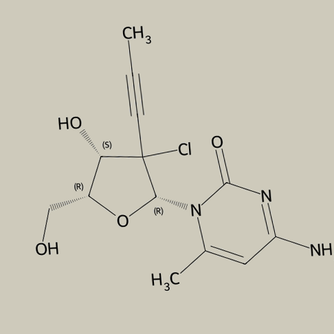 CC#CC1(Cl)[C@@H](O)[C@@H](CO)O[C@H]1n1c(C)cc(N)nc1=O